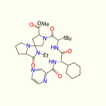 CCN1C(=O)C2CCCN2C12CC(C(=O)OC)N(C(=O)C(NC(=O)[C@@H](NC(=O)c1cnccn1)C1CCCCC1)C(C)(C)C)C2